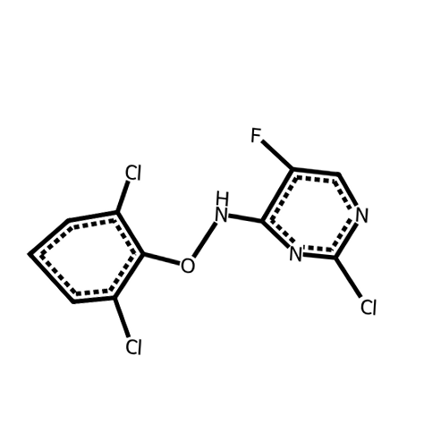 Fc1cnc(Cl)nc1NOc1c(Cl)cccc1Cl